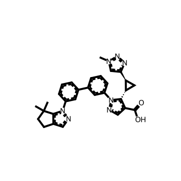 Cn1cc([C@H]2C[C@@H]2c2c(C(=O)O)cnn2-c2cccc(-c3cccc(-n4ncc5c4C(C)(C)CC5)c3)c2)nn1